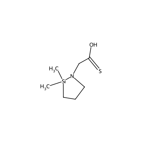 C[Si]1(C)CCCN1CC(O)=S